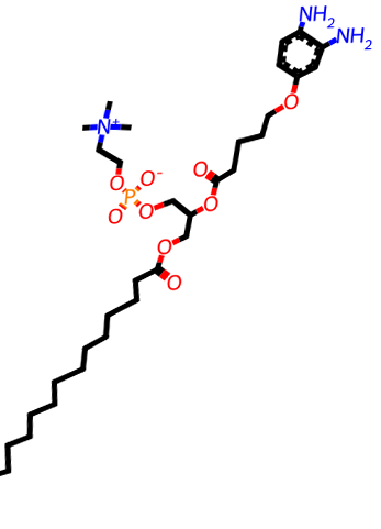 CCCCCCCCCCCCCCCC(=O)OCC(COP(=O)([O-])OCC[N+](C)(C)C)OC(=O)CCCCOc1ccc(N)c(N)c1